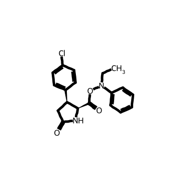 CCN(OC(=O)[C@H]1NC(=O)C[C@H]1c1ccc(Cl)cc1)c1ccccc1